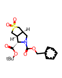 CC(C)(C)OC(=O)[C@@H]1[C@H]2CS(=O)(=O)C[C@H]2CN1C(=O)OCc1ccccc1